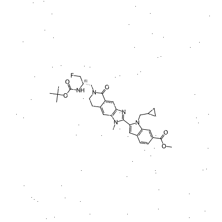 COC(=O)c1ccc2cc(-c3nc4cc5c(cc4n3C)CCN(C[C@@H](CF)NC(=O)OC(C)(C)C)C5=O)n(CC3CC3)c2c1